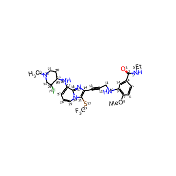 CCNC(=O)c1ccc(OC)c(NCC#Cc2nc3c(N[C@@H]4CCN(C)C[C@@H]4F)cccn3c2SC(F)(F)F)c1